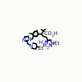 CCC1CCN(Cc2nccn2Cc2cc(C(CC/C(N)=C/N(N)CC)C(C)(C)C(=O)O)ccc2C)CC1